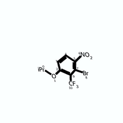 CC(C)Oc1ccc([N+](=O)[O-])c(Br)c1C(F)(F)F